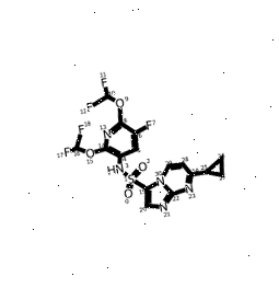 O=S(=O)(Nc1cc(F)c(OC(F)F)nc1OC(F)F)c1cnc2nc(C3CC3)ccn12